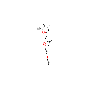 C=CCOC/C=C/[C@H]1CC(=C)[C@H](CC[C@H]2C[C@@H](C)C(=C)C(CC)O2)O1